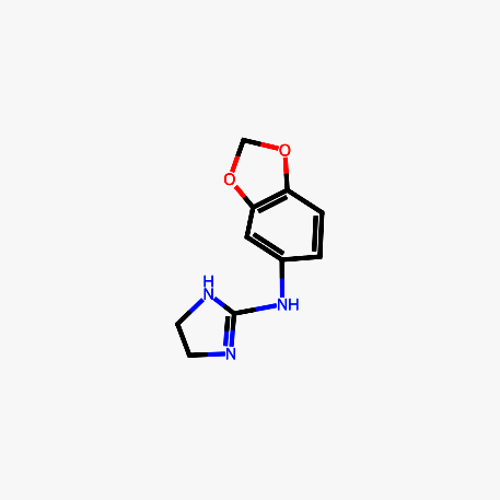 c1cc2c(cc1NC1=NCCN1)OCO2